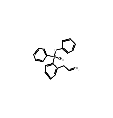 C=CCc1ccccc1[Si](C)(Oc1ccccc1)c1ccccc1